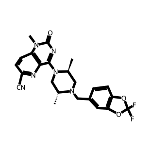 C[C@@H]1CN(c2nc(=O)n(C)c3ccc(C#N)nc23)[C@@H](C)CN1Cc1ccc2c(c1)OC(F)(F)O2